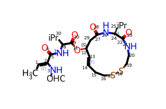 C/C=C(\NC=O)C(=O)NC(C(=O)O[C@@H]1/C=C/CCSSCCNC(=O)[C@H](C(C)C)NC(=O)C1)C(C)C